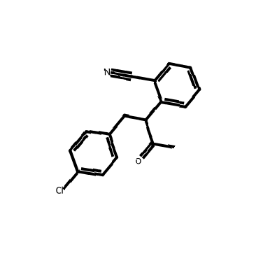 CC(=O)C(Cc1ccc(Cl)cc1)c1ccccc1C#N